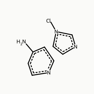 Cln1ccnc1.Nc1ccncc1